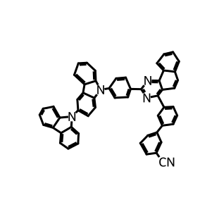 N#Cc1cccc(-c2cccc(-c3nc(-c4ccc(-n5c6ccccc6c6cc(-n7c8ccccc8c8ccccc87)ccc65)cc4)nc4c3ccc3ccccc34)c2)c1